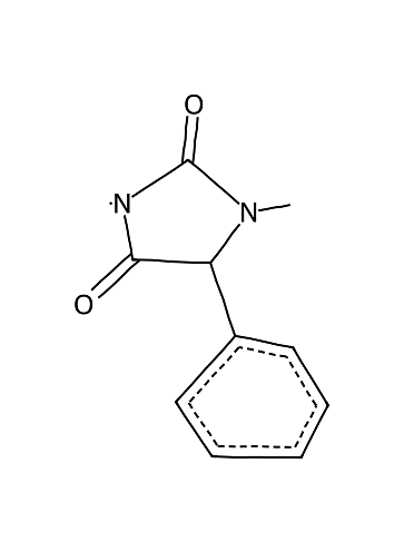 CN1C(=O)[N]C(=O)C1c1ccccc1